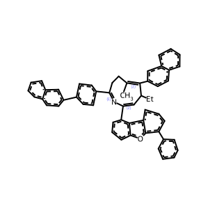 CCC1/C=C(c2cccc3oc4c(-c5ccccc5)cccc4c23)\N=C(\c2ccc(-c3ccc4ccccc4c3)cc2)CC/C(C)=C/1c1ccc2ccccc2c1